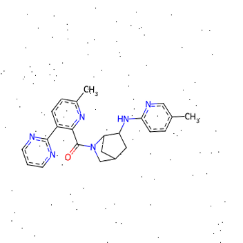 Cc1ccc(NC2CC3CC2N(C(=O)c2nc(C)ccc2-c2ncccn2)C3)nc1